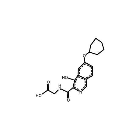 O=C(O)CNC(=O)c1ncc2ccc(OC3CCCCC3)cc2c1O